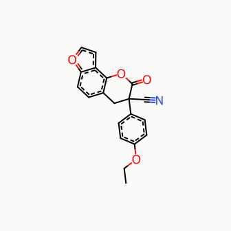 CCOc1ccc(C2(C#N)Cc3ccc4occc4c3OC2=O)cc1